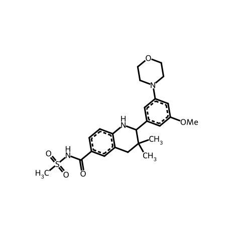 COc1cc(C2Nc3ccc(C(=O)NS(C)(=O)=O)cc3CC2(C)C)cc(N2CCOCC2)c1